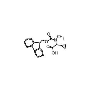 CN(C(=O)OCC1c2ccccc2-c2ccccc21)C(C(=O)O)C1CC1